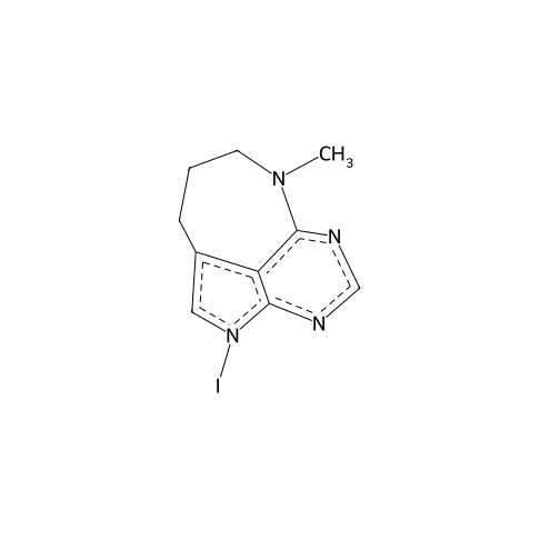 CN1CCCc2cn(I)c3ncnc1c23